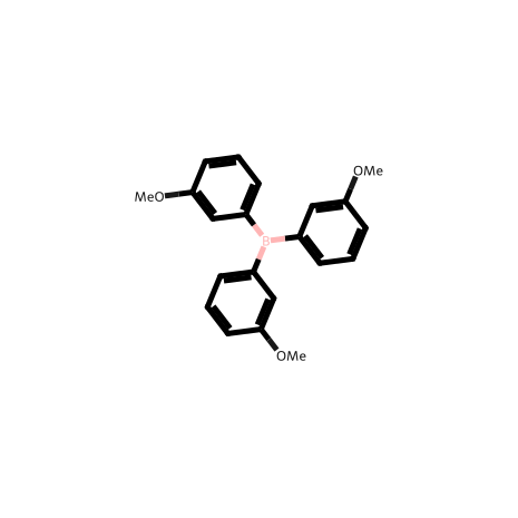 COc1cccc(B(c2cccc(OC)c2)c2cccc(OC)c2)c1